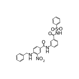 O=C(Nc1cccc(C(=O)NS(=O)(=O)c2ccccc2)c1)c1ccc(NCc2ccccc2)c([N+](=O)[O-])c1